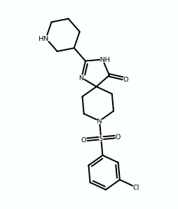 O=C1NC(C2CCCNC2)=NC12CCN(S(=O)(=O)c1cccc(Cl)c1)CC2